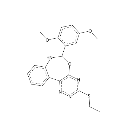 CCSc1nnc2c(n1)OC(c1cc(OC)ccc1OC)Nc1ccccc1-2